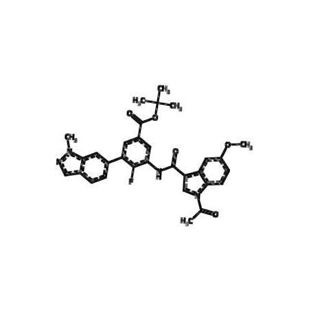 COc1ccc2c(c1)c(C(=O)Nc1cc(C(=O)OC(C)(C)C)cc(-c3ccc4cnn(C)c4c3)c1F)cn2C(C)=O